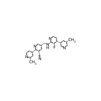 Cc1cncc(-c2ccnc(NCc3cnc(-c4ccnc(C)c4)c(C#N)c3)c2F)c1